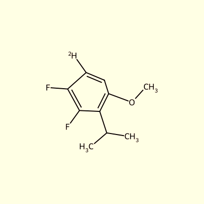 [2H]c1cc(OC)c(C(C)C)c(F)c1F